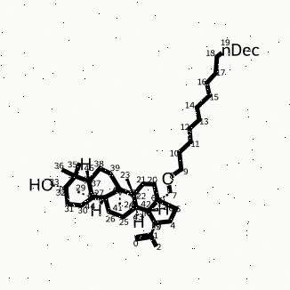 C=C(C)[C@@H]1CC[C@]2(COCCCCCCCCCCCCCCCCCCCC)CC[C@]3(C)[C@H](CC[C@@H]4[C@@]5(C)CC[C@H](O)C(C)(C)[C@@H]5CC[C@]43C)[C@@H]12